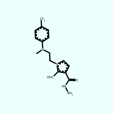 BNC(=O)c1ccn(CCN(C)c2ccc(C(F)(F)F)cc2)c1C=O